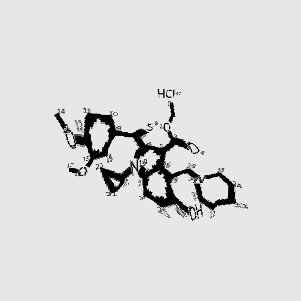 CCOC(=O)c1c(C(=S)c2ccc(OC)c(OC)c2)n(C2CC2)c2ccc(O)c(CN3CCCCC3)c12.Cl